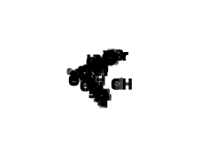 CC(=O)N1CC[C@H](NC(=O)C(=O)Nc2ccc(Br)cc2)[C@H](NC(=O)c2nc3c(s2)CN(C)CC3)C1.Cl